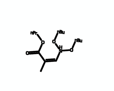 CCCCO[SiH](C=C(C)C(=O)OCCC)OCCCC